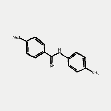 CSc1ccc(C(=N)Nc2ccc(C)cc2)cc1